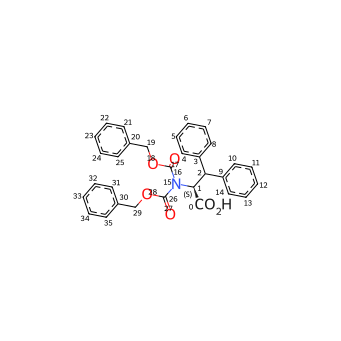 O=C(O)[C@H](C(c1ccccc1)c1ccccc1)N(C(=O)OCc1ccccc1)C(=O)OCc1ccccc1